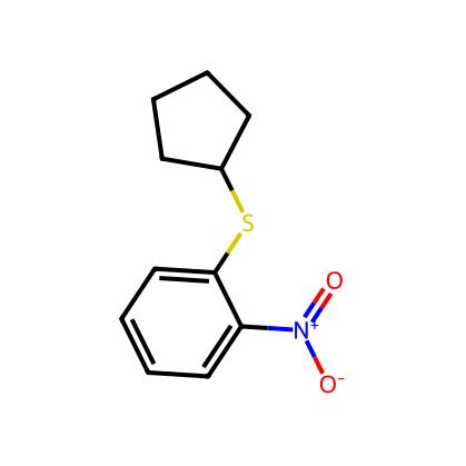 O=[N+]([O-])c1ccccc1SC1CCCC1